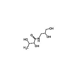 CC(O)C(O)C(=O)NCC(O)CO